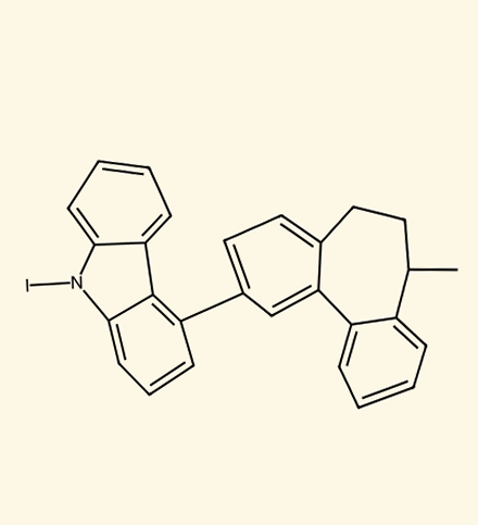 CC1CCc2ccc(-c3cccc4c3c3ccccc3n4I)cc2-c2ccccc21